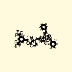 C[C@@H](O[C@H]1OCCN(Cc2nn(P(=O)(OCc3ccccc3)OCc3ccccc3)c(=O)[nH]2)[C@H]1I)c1cc(C(F)(F)F)cc(C(F)(F)F)c1